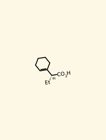 CC[C@@H](C(=O)O)C1=CCCCC1